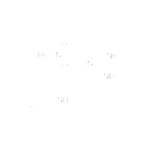 CC(=O)Nc1ccc(NC(=N)N)cc1.O=[N+]([O-])O